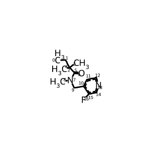 CCC(C)(C)C(=O)N(C)Cc1ccncc1F